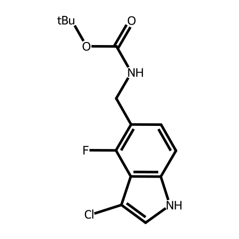 CC(C)(C)OC(=O)NCc1ccc2[nH]cc(Cl)c2c1F